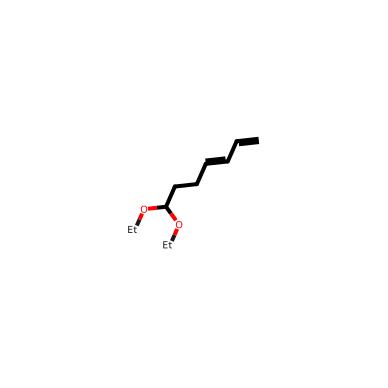 C=C/C=C/CCC(OCC)OCC